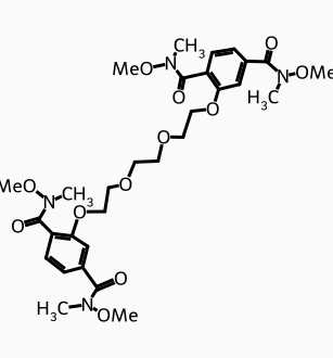 CON(C)C(=O)c1ccc(C(=O)N(C)OC)c(OCCOCCOCCOc2cc(C(=O)N(C)OC)ccc2C(=O)N(C)OC)c1